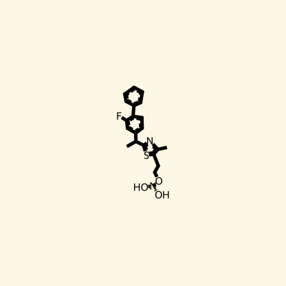 Cc1nc(C(C)c2ccc(-c3ccccc3)c(F)c2)sc1CCON(O)O